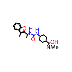 CNC(O)C1CCC(NC(=O)NC(C)c2oc3ccccc3c2C)CC1